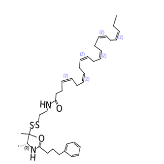 [CH2][C@@H](NC(=O)CCCc1ccccc1)C(C)(C)SSCCNC(=O)CC/C=C\C/C=C\C/C=C\C/C=C\C/C=C\C/C=C\CC